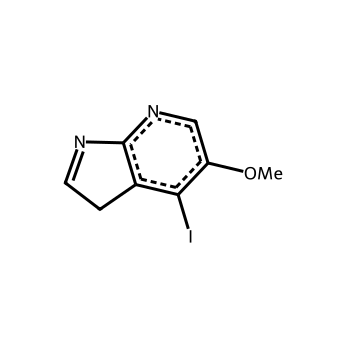 COc1cnc2c(c1I)CC=N2